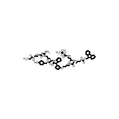 CCC(=O)NCCNC(=O)/N=C(/N)NCCC[C@@H](NC(=O)C(c1ccccc1)c1cccc(OCCCCNC(=O)[C@@H](CCCNC(=O)OCC2c3ccccc3-c3ccccc32)NC(=O)CCNC(=O)OC(C)(C)C)c1)C(=O)NCc1ccc(O)cc1